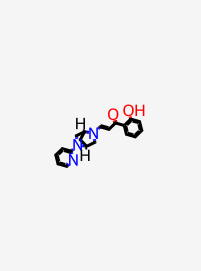 O=C(/C=C/N1C[C@H]2C[C@@H]1CN2c1ccccn1)c1ccccc1O